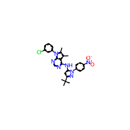 Cc1c(C)n(-c2cccc(Cl)c2)c2ncnc(Nc3cc(C(C)(C)C)nn3-c3ccc([N+](=O)[O-])cc3)c12